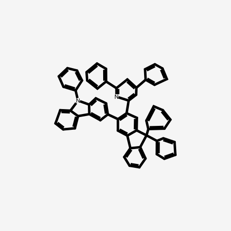 c1ccc(-c2cc(-c3ccccc3)nc(-c3cc4c(cc3-c3ccc5c(c3)c3ccccc3n5-c3ccccc3)-c3ccccc3C4(c3ccccc3)c3ccccc3)c2)cc1